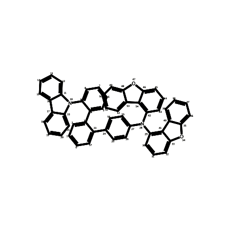 c1ccc(-c2ccccc2-n2c3ccccc3c3ccccc32)c(-c2ccc(N(c3cccc4oc5ccccc5c34)c3cccc4oc5ccccc5c34)cc2)c1